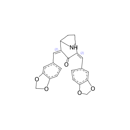 O=C1/C(=C\c2ccc3c(c2)OCO3)C2CCC(N2)/C1=C/c1ccc2c(c1)OCO2